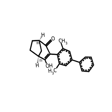 Cc1cc(-c2ccccc2)cc(C)c1C1=C(O)[C@H]2CC[C@H](C2)C1=O